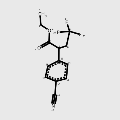 CCOC(=O)C(CC(F)(F)F)c1ccc(C#N)cc1